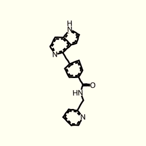 O=C(NCc1ccccn1)c1ccc(-c2nccc3[nH]ccc23)cc1